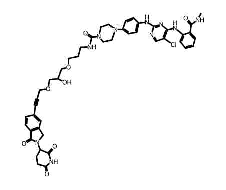 CNC(=O)c1ccccc1Nc1nc(Nc2ccc(N3CCN(C(=O)NCCCOCC(O)COCC#Cc4ccc5c(c4)CN(C4CCC(=O)NC4=O)C5=O)CC3)cc2)ncc1Cl